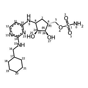 NS(=O)(=O)OC[C@H]1CC(Nc2ccnc(NCC3CCCCC3)n2)[C@H](O)[C@@H]1O